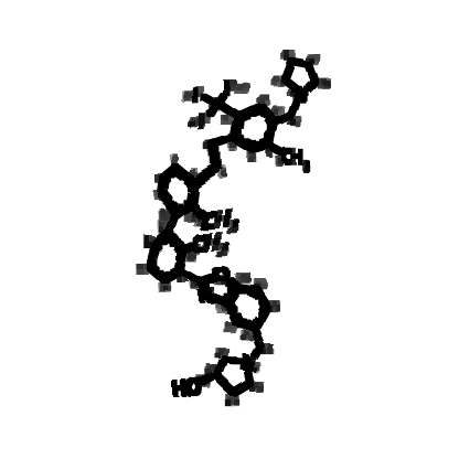 Cc1cc(/C=C/c2cccc(-c3cccc(-c4nc5cc(CN6CC[C@@H](O)C6)ccc5o4)c3C)c2C)c(C(F)(F)F)cc1CN1CCCC1